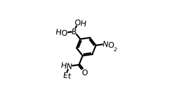 CCNC(=O)c1cc(B(O)O)cc([N+](=O)[O-])c1